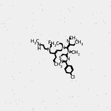 C=CC/C(=C\CN(CC)/C(=C(/CC)N=C)N(C)C1=NC(C2=CCC(Cl)C=C2)=NSC1)CN(CF)CCNC